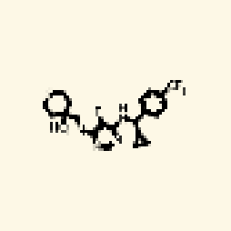 OC1(CNc2ncnc(NC(c3ccc(C(F)(F)F)cc3)C3CC3)c2F)CCSCC1